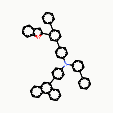 c1ccc(-c2cccc(N(c3ccc(-c4ccc(-c5ccccc5)c(-c5cc6ccccc6o5)c4)cc3)c3ccc(-c4cc5ccccc5c5ccccc45)cc3)c2)cc1